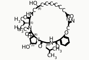 CC(C)C[C@H]1NC(=O)c2ccccc2OCc2noc(n2)CCCCCC[C@@H](O)CNC(=O)[C@H](C(C)C)N(C)C(=O)[C@H]2C[C@H](O)CN2C1=O